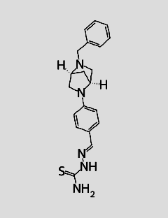 NC(=S)N/N=C/c1ccc(N2C[C@@H]3C[C@H]2CN3Cc2ccccc2)cc1